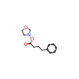 O=C(CCCc1ccccc1)ON1CCOC1